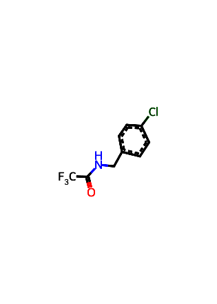 O=C(NCc1ccc(Cl)cc1)C(F)(F)F